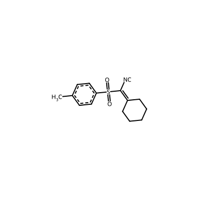 [C-]#[N+]C(=C1CCCCC1)S(=O)(=O)c1ccc(C)cc1